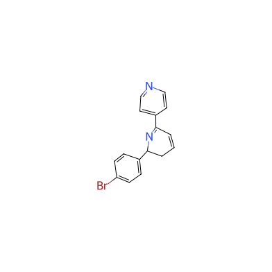 Brc1ccc(C2CC=CC(c3ccncc3)=N2)cc1